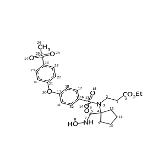 CCOC(=O)CCN(C1(C(=O)NO)CCCC1)S(=O)(=O)c1ccc(Oc2ccc(S(C)(=O)=O)cc2)cc1